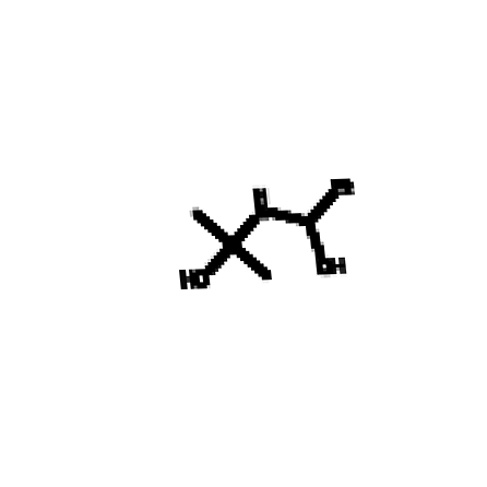 CCC(O)NC(C)(C)O